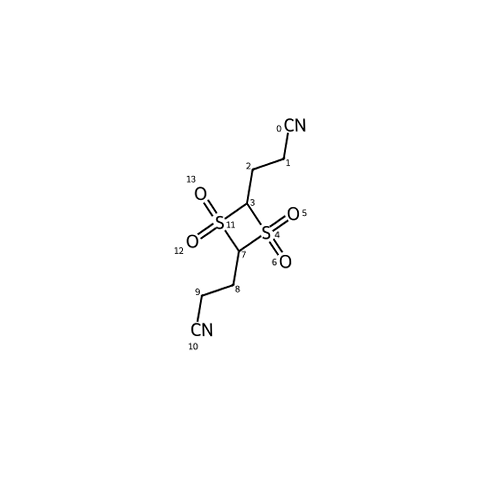 N#CCCC1S(=O)(=O)C(CCC#N)S1(=O)=O